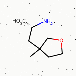 CC1(C[C@@H](N)C(=O)O)CCOC1